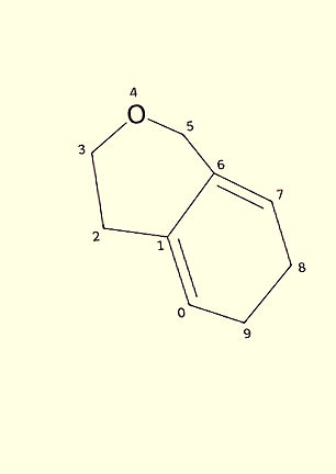 C1=C2CCOCC2=CCC1